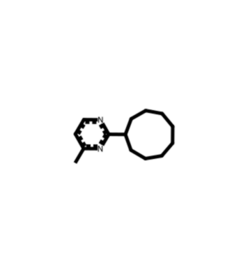 Cc1ccnc(C2CCCCCCCC2)n1